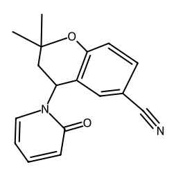 CC1(C)CC(n2ccccc2=O)c2cc(C#N)ccc2O1